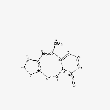 CO/C1=N/C2=C(CCS2)CSC2C(=O)C=CC=C12